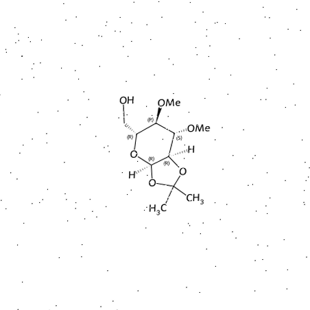 CO[C@@H]1[C@H]2OC(C)(C)O[C@H]2O[C@H](CO)[C@H]1OC